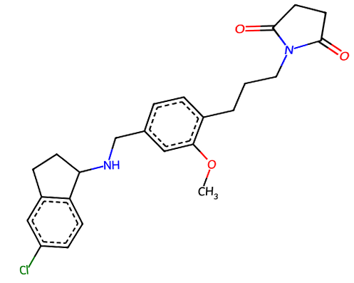 COc1cc(CNC2CCc3cc(Cl)ccc32)ccc1CCCN1C(=O)CCC1=O